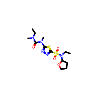 CCN(C)C(=O)N(C)c1nnc(S(=O)(=O)N(CC)C2CCCO2)s1